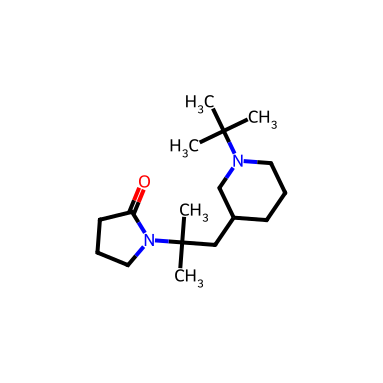 CC(C)(C)N1CCCC(CC(C)(C)N2CCCC2=O)C1